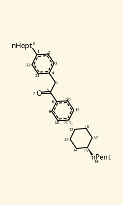 CCCCCCCc1ccc(CC(=O)c2ccc([C@H]3CC[C@H](CCCCC)CC3)cc2)cc1